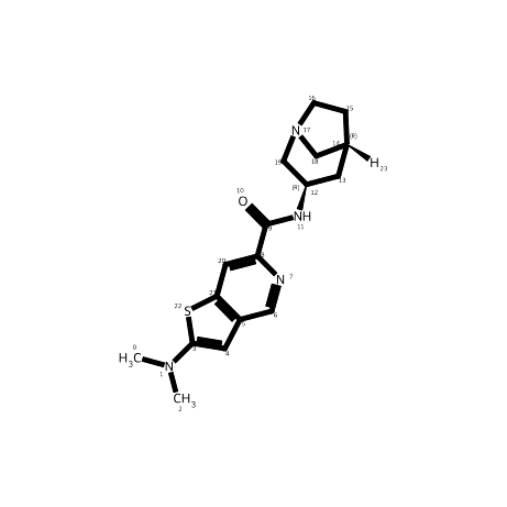 CN(C)c1cc2cnc(C(=O)N[C@@H]3C[C@H]4CCN(C4)C3)cc2s1